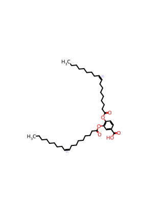 CCCCCCCC/C=C\CCCCCCCC(=O)Oc1ccc(C(=O)O)cc1OC(=O)CCCCCCC/C=C\CCCCCCCC